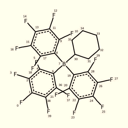 Fc1c(F)c(F)c([B-](c2c(F)c(F)c(F)c(F)c2F)(c2c(F)c(F)c(F)c(F)c2F)C2CCCCC2)c(F)c1F